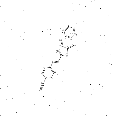 N#Cc1ccc(C=CC2=NC(=Cc3ccccc3)C(=O)O2)cc1